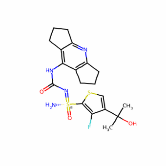 CC(C)(O)c1csc([S@@](N)(=O)=NC(=O)Nc2c3c(nc4c2CCC4)CCC3)c1F